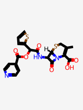 CC1=C(C(=O)O)N2C(=O)C(NC(=O)C(OC(=O)c3ccncc3)c3cccs3)[C@@H]2SC1